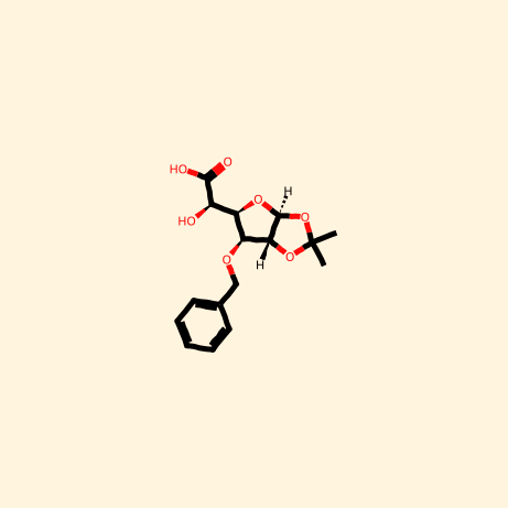 CC1(C)O[C@@H]2O[C@H]([C@@H](O)C(=O)O)[C@H](OCc3ccccc3)[C@H]2O1